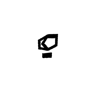 C#C.C1=C2CCC(C1)C2